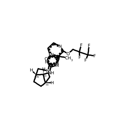 Cc1noc(N2C[C@H]3CC[C@@H](C2)[C@@H]3Nc2nc3c(OCC(F)(F)C(F)(F)F)nccn3n2)n1